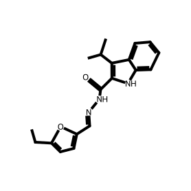 CCc1ccc(C=NNC(=O)c2[nH]c3ccccc3c2C(C)C)o1